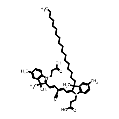 CCCCCCCCCCCCCCCCCCC1(C)\C(=C/C=C(C#N)/C=C/C2=[N+](CCC(=O)O)c3ccc(C)cc3C2(C)C)N(CCC(=O)O)c2ccc(C)cc21